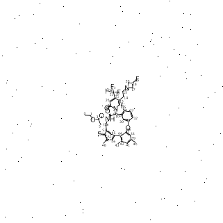 CCOC(=O)C[C@@H]1NC(=O)[C@H](n2cc(CCN3CC(F)C3)c(C(F)(F)F)cc2=O)c2cc(ccc2F)Oc2cc(C)cc(C)c2-c2cc(C)c(F)c1c2